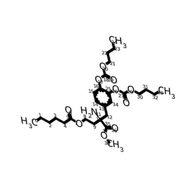 CCCCCC(=O)OCC[C@@](N)(Cc1ccc(OC(=O)OCCCC)c(OC(=O)OCCCC)c1)C(=O)OC